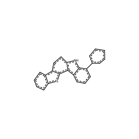 c1ccc(-c2cccc3c2[nH]c2ccc4c5ccccc5sc4c23)cc1